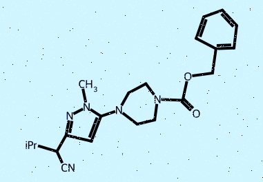 CC(C)C(C#N)c1cc(N2CCN(C(=O)OCc3ccccc3)CC2)n(C)n1